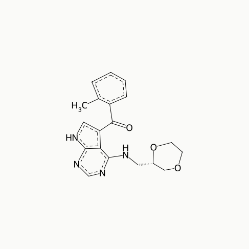 Cc1ccccc1C(=O)c1c[nH]c2ncnc(NC[C@H]3COCCO3)c12